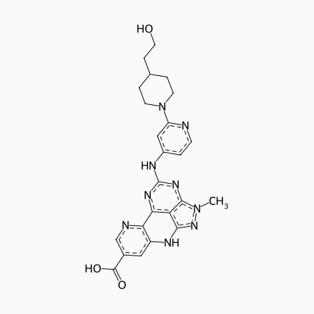 Cn1nc2c3c(nc(Nc4ccnc(N5CCC(CCO)CC5)c4)nc31)-c1ncc(C(=O)O)cc1N2